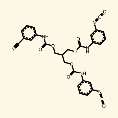 N#Cc1cccc(NC(=O)OCC(COC(=O)Nc2cccc(N=C=O)c2)COC(=O)Nc2cccc(N=C=O)c2)c1